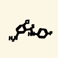 Nc1ccc(Cl)c(C(=S)Nc2ccc(F)cc2)c1